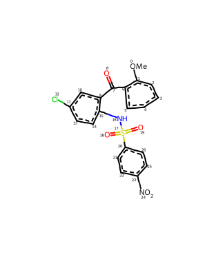 COc1ccccc1C(=O)c1cc(Cl)ccc1NS(=O)(=O)c1ccc([N+](=O)[O-])cc1